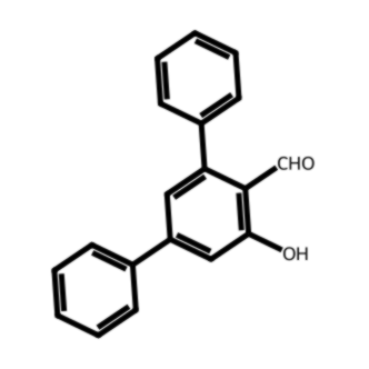 O=Cc1c(O)cc(-c2ccccc2)cc1-c1ccccc1